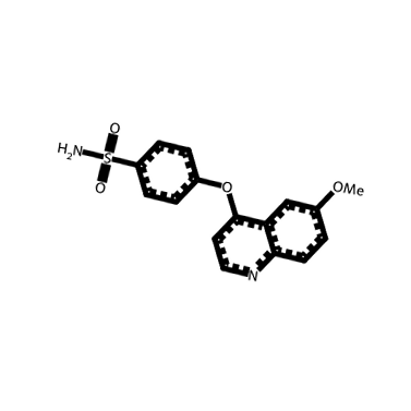 COc1ccc2nccc(Oc3ccc(S(N)(=O)=O)cc3)c2c1